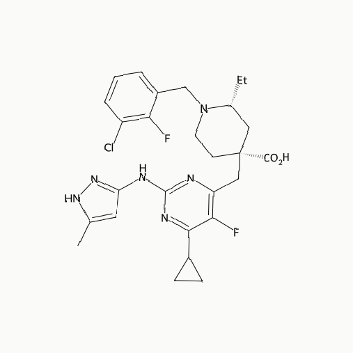 CC[C@@H]1C[C@](Cc2nc(Nc3cc(C)[nH]n3)nc(C3CC3)c2F)(C(=O)O)CCN1Cc1cccc(Cl)c1F